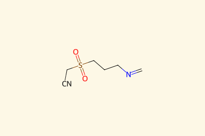 C=NCCCS(=O)(=O)CC#N